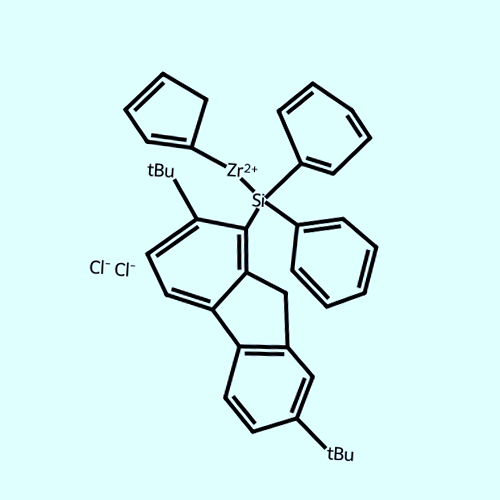 CC(C)(C)c1ccc2c(c1)Cc1c-2ccc(C(C)(C)C)c1[Si]([Zr+2][C]1=CC=CC1)(c1ccccc1)c1ccccc1.[Cl-].[Cl-]